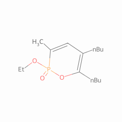 CCCCC1=C(CCCC)OP(=O)(OCC)C(C)=C1